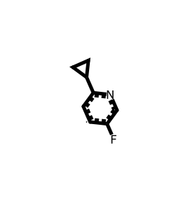 Fc1[c]cc(C2CC2)nc1